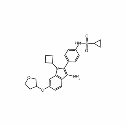 Nc1c(-c2ccc(NS(=O)(=O)C3CC3)cc2)n(C2CCC2)c2cc(OC3CCOC3)ccc12